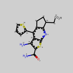 NC(=O)c1sc2nc3c(c(-c4cccs4)c2c1N)CCC3CC(=O)O